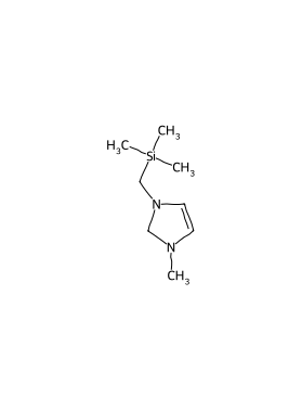 CN1C=CN(C[Si](C)(C)C)C1